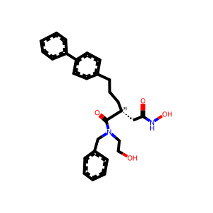 O=C(C[C@@H](CCCc1ccc(-c2ccccc2)cc1)C(=O)N(CCO)Cc1ccccc1)NO